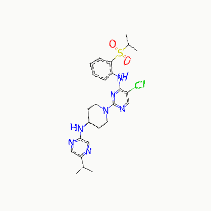 CC(C)c1cnc(NC2CCN(c3ncc(Cl)c(Nc4ccccc4S(=O)(=O)C(C)C)n3)CC2)cn1